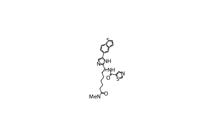 CNC(=O)CCCCC[C@H](NC(=O)c1cncs1)c1ncc(-c2ccc3sccc3c2)[nH]1